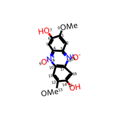 COc1cc2c(cc1O)[n+]([O-])c1cc(OC)c(O)cc1[n+]2[O-]